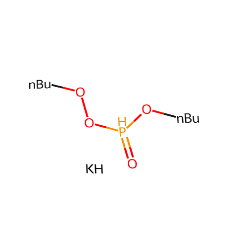 CCCCOO[PH](=O)OCCCC.[KH]